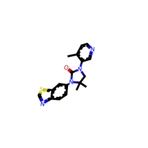 Cc1ccncc1N1CC(C)(C)N(c2ccc3ncsc3c2)C1=O